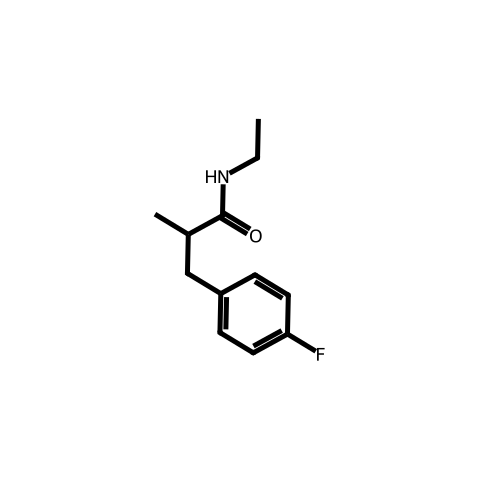 CCNC(=O)C(C)Cc1ccc(F)cc1